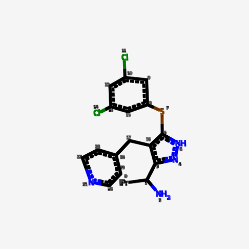 CC(C)C(N)c1n[nH]c(Sc2cc(Cl)cc(Cl)c2)c1Cc1ccncc1